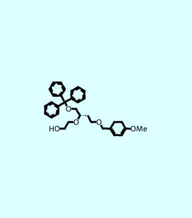 COC1=CC=C(COCC[C@@H](COC(c2ccccc2)(c2ccccc2)c2ccccc2)OCCO)CC1